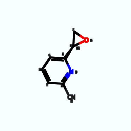 N#Cc1cccc([C@H]2CO2)n1